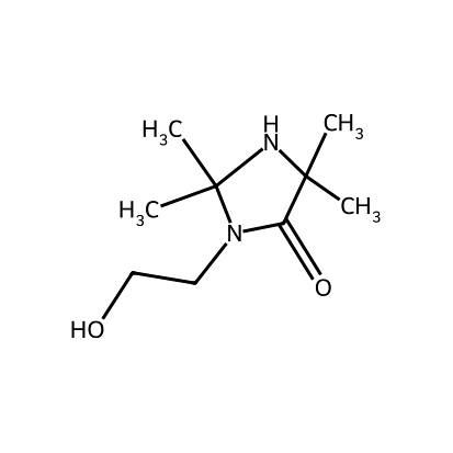 CC1(C)NC(C)(C)N(CCO)C1=O